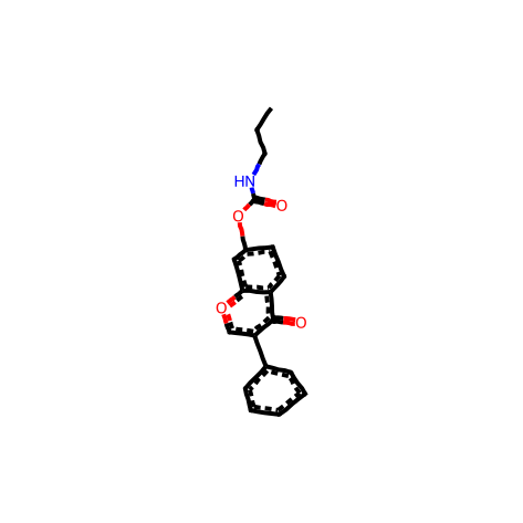 CCCNC(=O)Oc1ccc2c(=O)c(-c3ccccc3)coc2c1